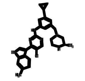 Cc1ccc2c(-c3nc(Nc4cc(CN5CCN[C@H](C)C5)cc(C5CC5)c4)ncc3Cl)c[nH]c2c1